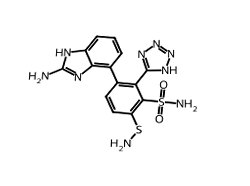 NSc1ccc(-c2cccc3[nH]c(N)nc23)c(-c2nnn[nH]2)c1S(N)(=O)=O